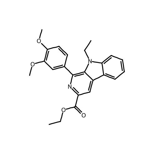 CCOC(=O)c1cc2c3ccccc3n(CC)c2c(-c2ccc(OC)c(OC)c2)n1